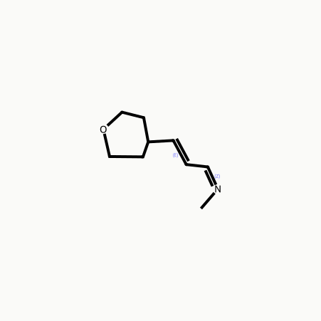 C/N=C\C=C\C1CCOCC1